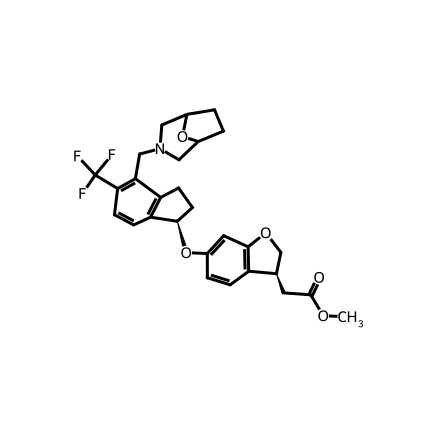 COC(=O)C[C@@H]1COc2cc(O[C@@H]3CCc4c3ccc(C(F)(F)F)c4CN3CC4CCC(C3)O4)ccc21